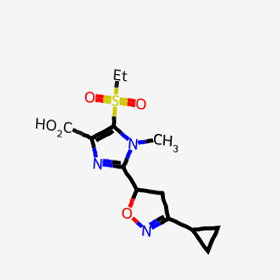 CCS(=O)(=O)c1c(C(=O)O)nc(C2CC(C3CC3)=NO2)n1C